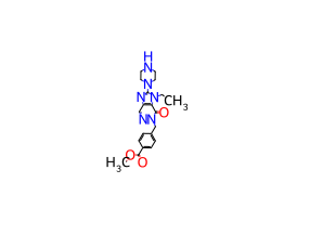 CCn1c(N2CCNCC2)nc2cnn(Cc3ccc(C(=O)OC)cc3)c(=O)c21